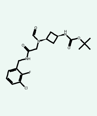 CC(C)(C)OC(=O)N[C@H]1C[C@@H](N(C=O)CC(=O)NCc2cccc(Cl)c2F)C1